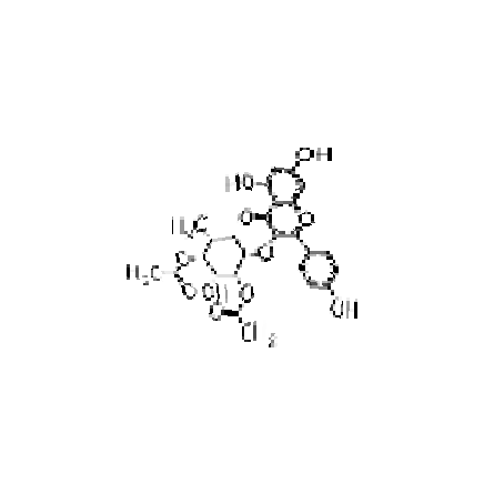 CC(=O)O[C@@H]1[C@@H](O)[C@@H](OC(C)=O)[C@H](Oc2c(-c3ccc(O)cc3)oc3cc(O)cc(O)c3c2=O)C[C@H]1C